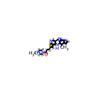 Cc1c(Nc2c(C#N)cnc3sc(C=CC(=O)N4CCN(C)CC4)cc23)ccc2[nH]ccc12